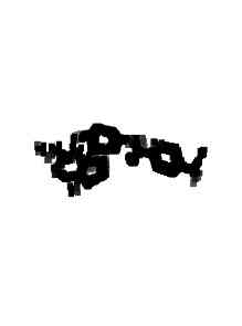 NC1=N[C@@]2(c3cc(NC(=O)c4ccc(C(F)F)cn4)ccc3F)CCC[C@H]2CS1